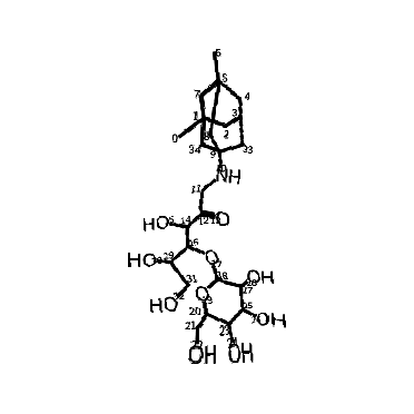 CC12CC3CC(C)(C1)CC(NCC(=O)C(O)C(OC1OC(CO)C(O)C(O)C1O)C(O)CO)(C3)C2